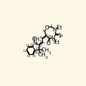 CCN1COC/C(=C/C=C2\N(C)c3ccccc3C2(C)C)C(=O)N(CC)C1=S